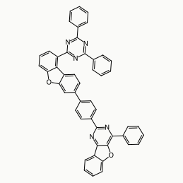 c1ccc(-c2nc(-c3ccccc3)nc(-c3cccc4oc5cc(-c6ccc(-c7nc(-c8ccccc8)c8oc9ccccc9c8n7)cc6)ccc5c34)n2)cc1